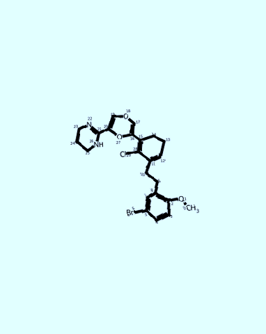 COc1ccc(Br)cc1CCC1=CCCC(C2=COC=C(C3=NCCCN3)O2)=C1Cl